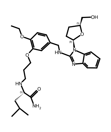 CCOc1ccc(CNc2nc3ccccc3n2[C@H]2CC[C@@H](CO)O2)cc1OCCCN[C@@H](CC(C)C)C(N)=O